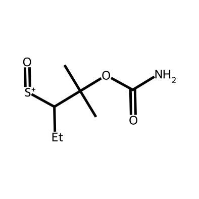 CCC([S+]=O)C(C)(C)OC(N)=O